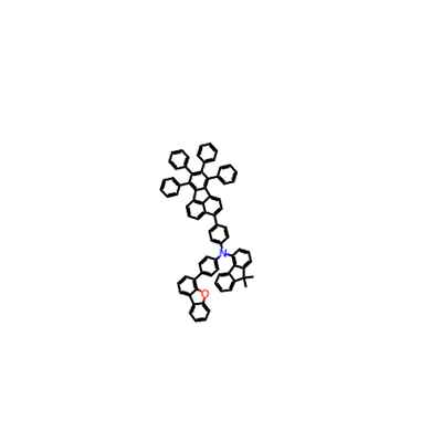 CC1(C)c2ccccc2-c2c(N(c3ccc(-c4ccc5c6c(cccc46)-c4c(-c6ccccc6)c(-c6ccccc6)c(-c6ccccc6)c(-c6ccccc6)c4-5)cc3)c3ccc(-c4cccc5c4oc4ccccc45)cc3)cccc21